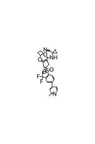 Cc1cc(-c2ccc(S(=O)(=O)[C@H]3C[C@@H](OC4CCC4)[C@H](C(=O)NC4(C#N)CC4)C3)c(C(F)(F)F)c2)ccn1